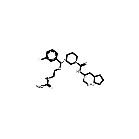 CNC[C@H](CC1CCCC1)NC(=O)N1CCC[C@@H](C(OCCNC(=O)OC)c2cccc(Cl)c2)C1